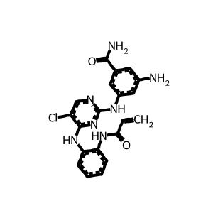 C=CC(=O)Nc1ccccc1Nc1nc(Nc2cc(N)cc(C(N)=O)c2)ncc1Cl